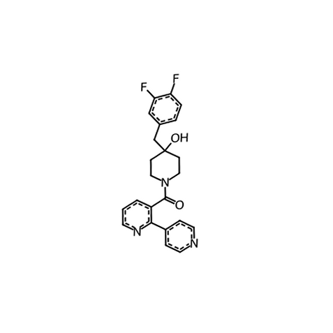 O=C(c1cccnc1-c1ccncc1)N1CCC(O)(Cc2ccc(F)c(F)c2)CC1